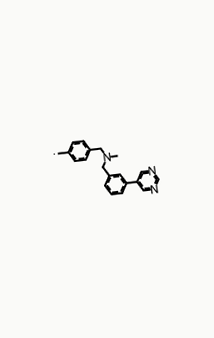 [CH2]c1ccc(CN(C)Cc2cccc(-c3cncnc3)c2)cc1